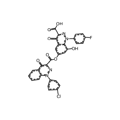 O=C(Oc1cc(O)c2c(c1)c(=O)c(C(=O)O)nn2-c1ccc(F)cc1)c1nn(-c2ccc(Cl)cc2)c2ccccc2c1=O